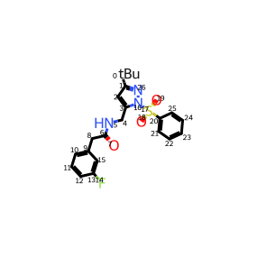 CC(C)(C)c1cc(CNC(=O)Cc2cccc(F)c2)n(S(=O)(=O)c2ccccc2)n1